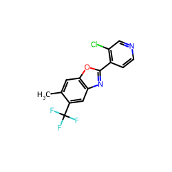 Cc1cc2oc(-c3ccncc3Cl)nc2cc1C(F)(F)F